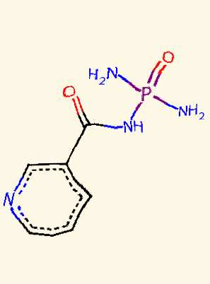 NP(N)(=O)NC(=O)c1cccnc1